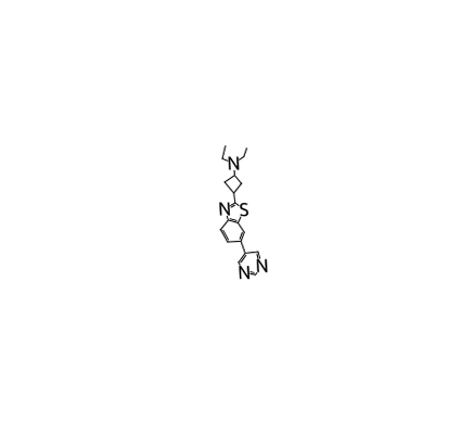 CCN(CC)C1CC(c2nc3ccc(-c4cncnc4)cc3s2)C1